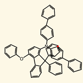 c1ccc(Oc2ccc(N(c3ccc(-c4ccccc4)cc3)c3ccc(-c4ccccc4)cc3)c3c2-c2ccccc2C3(c2ccccc2)c2ccccc2)cc1